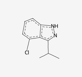 CC(C)c1n[nH]c2cccc(Cl)c12